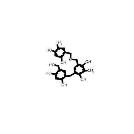 Cc1cc(COCc2cc(Cc3cc(CO)c(O)cc3O)c(O)c(C)c2O)c(O)cc1O